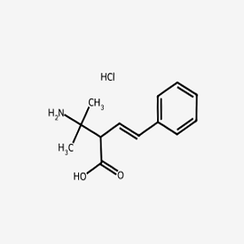 CC(C)(N)C(C=Cc1ccccc1)C(=O)O.Cl